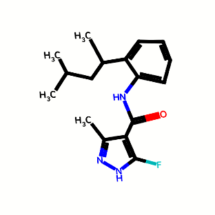 Cc1n[nH]c(F)c1C(=O)Nc1ccccc1C(C)CC(C)C